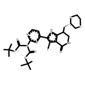 CC(C)(C)OC(=O)N(C(=O)OC(C)(C)C)c1nccc(-c2[nH]c3c(c2I)C(=O)NCC3C[C@H]2COCCO2)n1